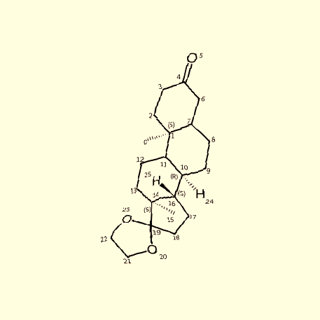 C[C@]12CCC(=O)CC1CC[C@@H]1C2CC[C@@]2(C)[C@H]1CCC21OCCO1